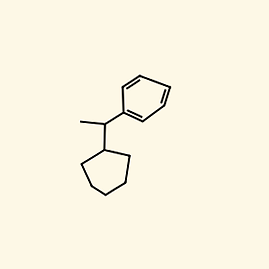 CC(c1ccccc1)C1CCCCC1